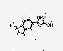 CCN1CCc2cc(-c3nnc(O)o3)ccc21